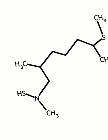 CSC(C)CCCC(C)CN(C)S